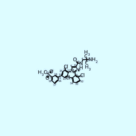 CC(C)(N)CNC(=O)c1cn(-c2ccc(-c3cccc(S(C)(=O)=O)c3)cc2Cl)c(-c2c(Cl)cccc2Cl)n1